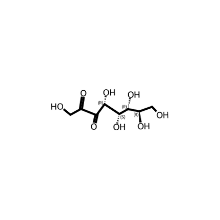 O=C(CO)C(=O)[C@H](O)[C@@H](O)[C@H](O)[C@H](O)CO